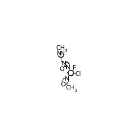 CCn1cc(Cn2ccn(-c3cc(N4CCO[C@H](C)C4)cc(Cl)c3F)c2=O)cn1